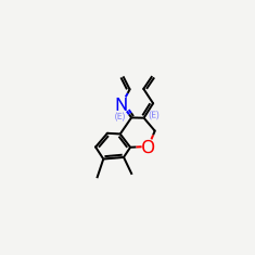 C=C/C=C1/COc2c(ccc(C)c2C)/C1=N/C=C